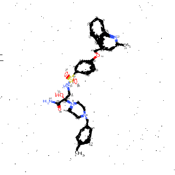 Cc1ccc(CN2CCN([C@](O)(CNS(=O)(=O)c3ccc(OCc4cc(C)nc5ccccc45)cc3)C(N)=O)CC2)cc1